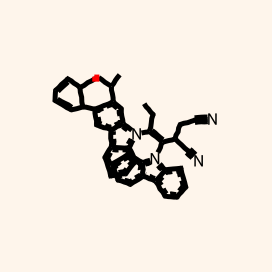 CC/C(=C(\C(C#N)CC#N)n1c2ccccc2c2ccccc21)n1c2ccccc2c2cc(C3C=CC=CC3C)c(C(C)C)cc21